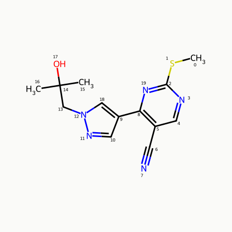 CSc1ncc(C#N)c(-c2cnn(CC(C)(C)O)c2)n1